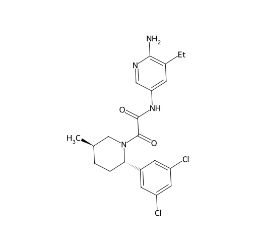 CCc1cc(NC(=O)C(=O)N2C[C@H](C)CC[C@H]2c2cc(Cl)cc(Cl)c2)cnc1N